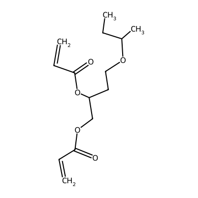 C=CC(=O)OCC(CCOC(C)CC)OC(=O)C=C